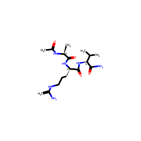 C=C(N)NCCC[C@H](NC(=O)[C@H](C)NC(C)=O)C(=O)N[C@H](C(N)=O)C(C)C